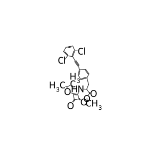 COC(=O)C(Cc1ccc(C#Cc2c(Cl)cccc2Cl)cc1)Nc1c(OC(C)C)c(=O)c1=O